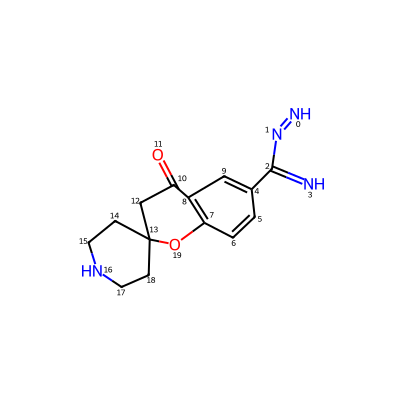 N=NC(=N)c1ccc2c(c1)C(=O)CC1(CCNCC1)O2